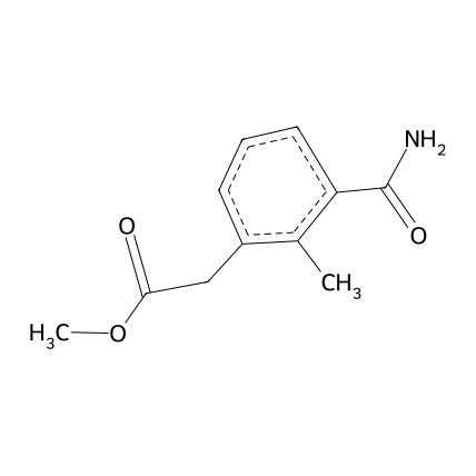 COC(=O)Cc1cccc(C(N)=O)c1C